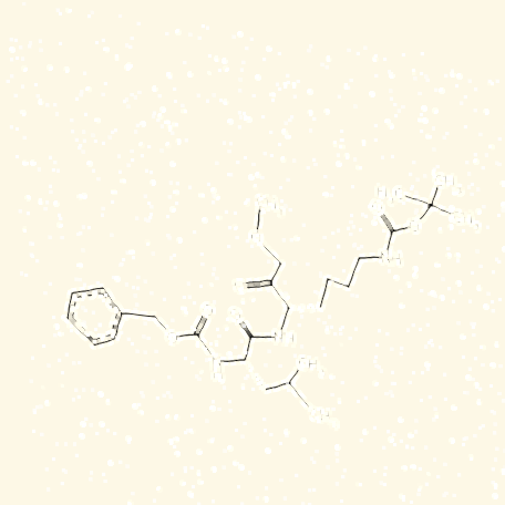 COCC(=O)[C@H](CCCCNC(=O)OC(C)(C)C)NC(=O)[C@H](CC(C)C)NC(=O)OCc1ccccc1